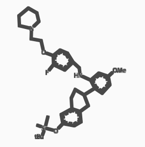 COc1ccc(C2CCc3cc(O[Si](C)(C)C(C)(C)C)ccc3C2)c(NCc2ccc(OCCN3CCCCC3)c(F)c2)c1